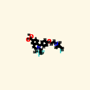 COC(=O)c1ccc2c(c1)C[C@@H](C)N(CC(F)(F)F)[C@@H]2c1ccc(OCCN2CC(CF)C2)cc1